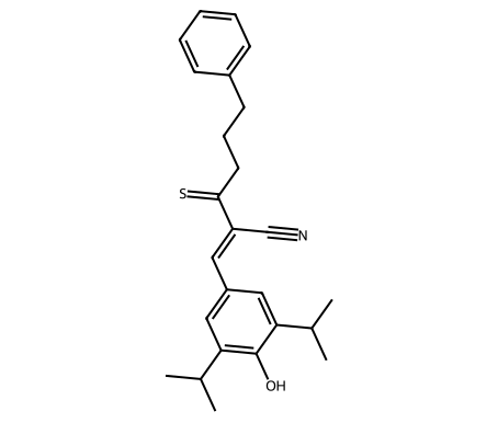 CC(C)c1cc(/C=C(\C#N)C(=S)CCCc2ccccc2)cc(C(C)C)c1O